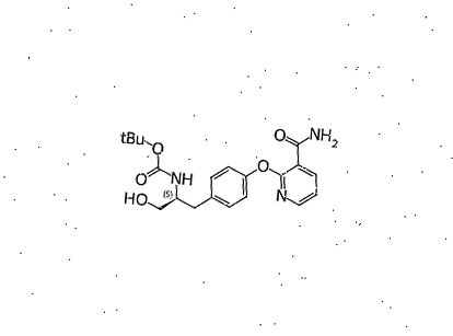 CC(C)(C)OC(=O)N[C@H](CO)Cc1ccc(Oc2ncccc2C(N)=O)cc1